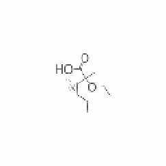 CCC[C@H](C)C(C)(OCC)C(=O)O